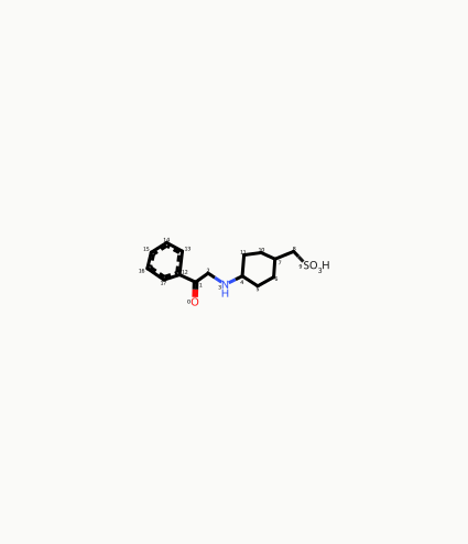 O=C(CNC1CCC(CS(=O)(=O)O)CC1)c1ccccc1